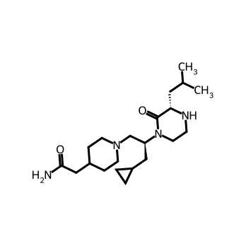 CC(C)C[C@@H]1NCCN([C@@H](CC2CC2)CN2CCC(CC(N)=O)CC2)C1=O